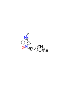 COc1ccc(C23CCC(CN(C(=O)C4CCCCC4)c4cccc(-c5cnn(C6CC6)c5)c4)(CC2)CC3)cc1C